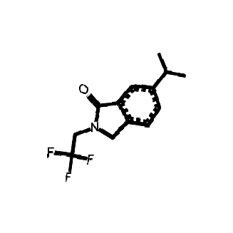 CC(C)c1ccc2c(c1)C(=O)N(CC(F)(F)F)C2